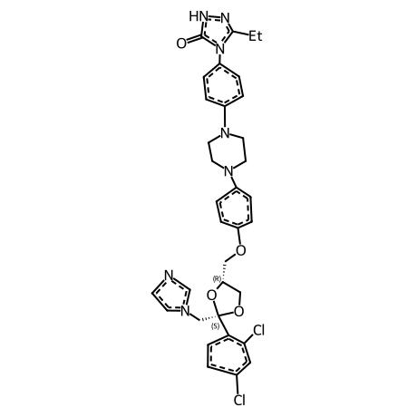 CCc1n[nH]c(=O)n1-c1ccc(N2CCN(c3ccc(OC[C@@H]4CO[C@@](Cn5ccnc5)(c5ccc(Cl)cc5Cl)O4)cc3)CC2)cc1